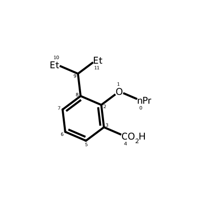 CCCOc1c(C(=O)O)cccc1C(CC)CC